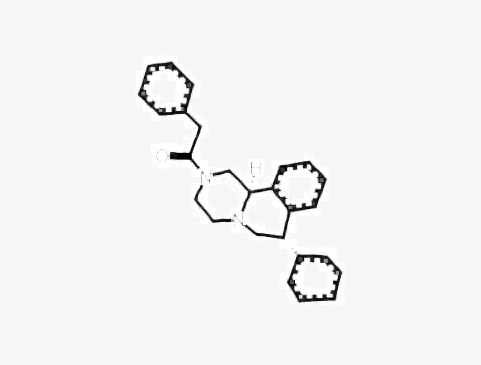 O=C(Cc1ccccc1)N1CCN2C[C@@H](c3ccccc3)c3ccccc3[C@@H]2C1